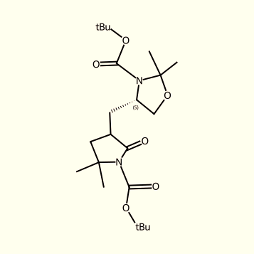 CC(C)(C)OC(=O)N1C(=O)C(C[C@H]2COC(C)(C)N2C(=O)OC(C)(C)C)CC1(C)C